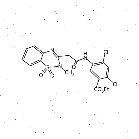 CCOC(=O)c1cc(NC(=O)CC2=Nc3ccccc3S(=O)(=O)N2C)c(Cl)cc1Cl